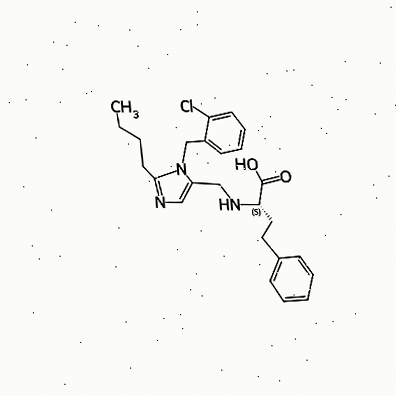 CCCCc1ncc(CN[C@@H](CCc2ccccc2)C(=O)O)n1Cc1ccccc1Cl